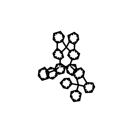 c1ccc(-c2ccc(N(c3ccc4c(c3)C(c3ccccc3)(c3ccccc3)c3ccccc3-4)c3ccc4c(c3)C3(c5ccccc5-c5ccc(N(c6ccccc6)c6ccccc6)cc53)c3ccccc3-4)cc2)cc1